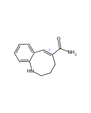 NC(=O)/C1=C/c2ccccc2NCCC1